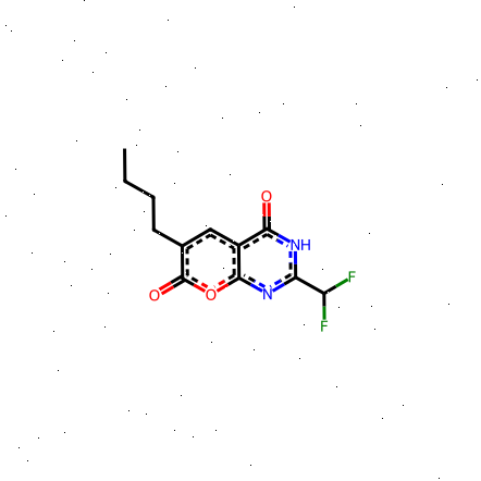 CCCCc1cc2c(=O)[nH]c(C(F)F)nc2oc1=O